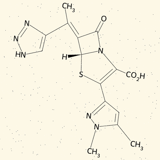 C/C(=C1\C(=O)N2C(C(=O)O)=C(c3cc(C)n(C)n3)S[C@H]12)c1c[nH]nn1